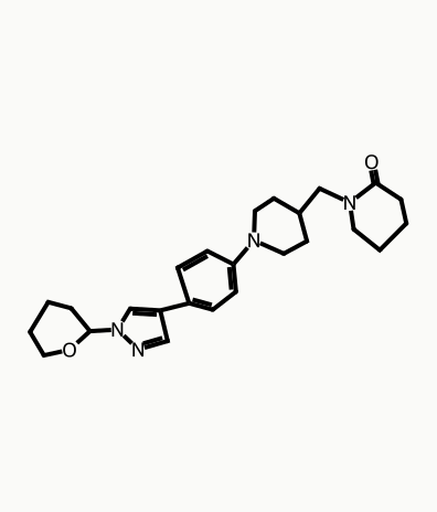 O=C1CCCCN1CC1CCN(c2ccc(-c3cnn(C4CCCCO4)c3)cc2)CC1